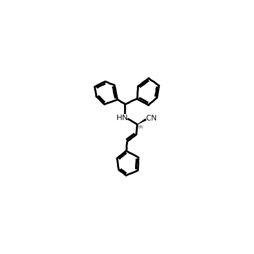 N#C[C@@H](C=Cc1ccccc1)NC(c1ccccc1)c1ccccc1